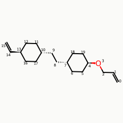 C=CCO[C@H]1CC[C@H](CC[C@H]2CC[C@H](C=C)CC2)CC1